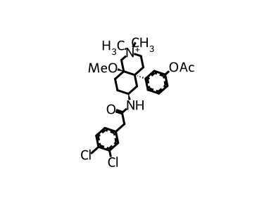 CO[C@]12CC[C@H](NC(=O)Cc3ccc(Cl)c(Cl)c3)C[C@]1(c1cccc(OC(C)=O)c1)CC[N+](C)(C)C2